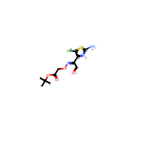 CC(C)(C)OC(=O)CO/N=C(\[C]=O)c1nc(N)sc1Cl